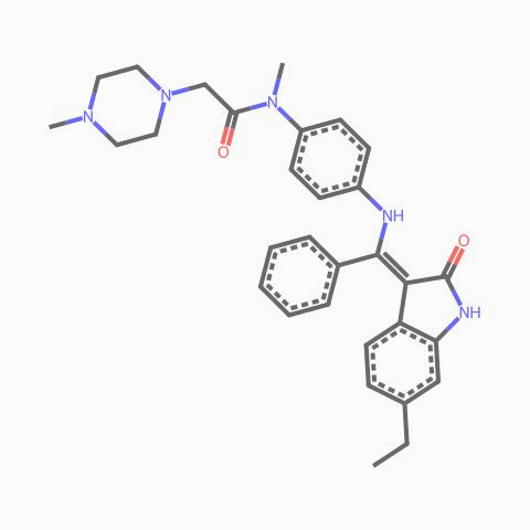 CCc1ccc2c(c1)NC(=O)/C2=C(\Nc1ccc(N(C)C(=O)CN2CCN(C)CC2)cc1)c1ccccc1